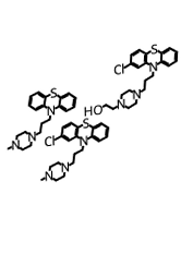 CN1CCN(CCCN2c3ccccc3Sc3ccc(Cl)cc32)CC1.CN1CCN(CCCN2c3ccccc3Sc3ccccc32)CC1.OCCN1CCN(CCCN2c3ccccc3Sc3ccc(Cl)cc32)CC1